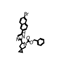 O=C(OCc1ccccc1)N1CC2(CC2)CC1c1ncc(-c2ccc3cc(Br)ccc3c2)[nH]1